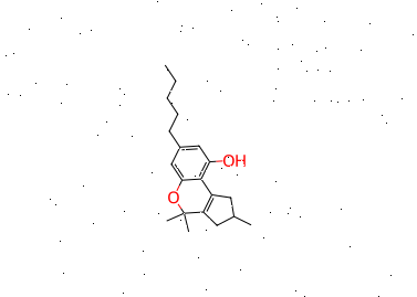 CCCCCc1cc(O)c2c(c1)OC(C)(C)C1=C2CC(C)C1